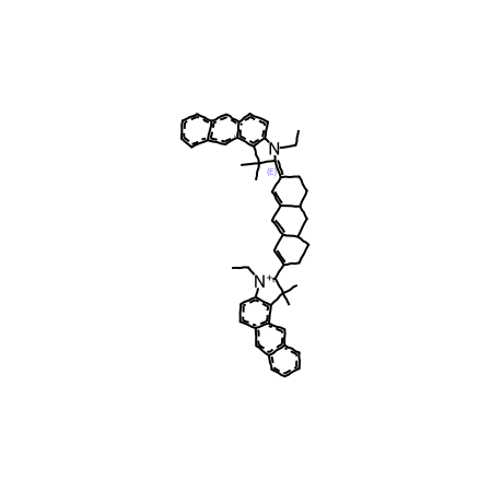 CCN1/C(=C2/C=C3C=C4C=C(C5=[N+](CC)c6ccc7cc8ccccc8cc7c6C5(C)C)CCC4CC3CC2)C(C)(C)c2c1ccc1cc3ccccc3cc21